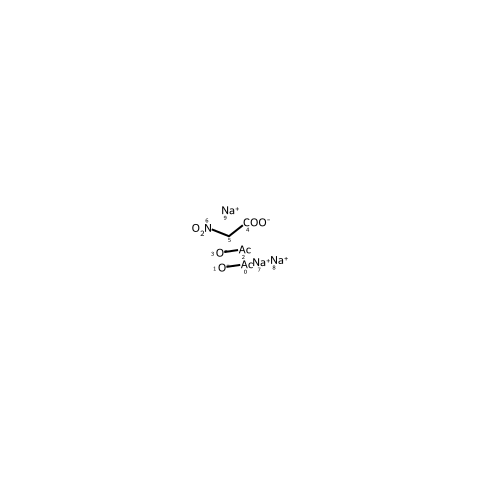 CC(=O)[O-].CC(=O)[O-].O=C([O-])C[N+](=O)[O-].[Na+].[Na+].[Na+]